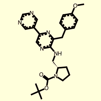 COc1ccc(Cc2nc(-c3cncnc3)cnc2NC[C@@H]2CCCN2C(=O)OC(C)(C)C)cc1